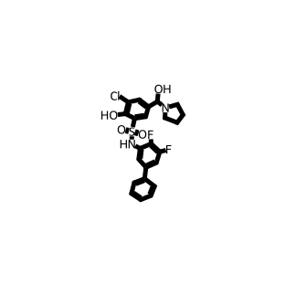 O=S(=O)(Nc1cc(-c2ccccc2)cc(F)c1F)c1cc(C(O)N2CCCC2)cc(Cl)c1O